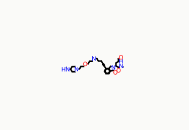 CNC(=O)C(CCC=O)N1Cc2c(C#CCCCN(C)CCCOCCCN3CCC(NC)CC3)cccc2C1=O